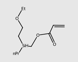 C=CC(=O)OC[SiH](CCC)CCOCC